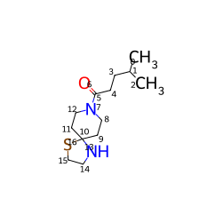 CC(C)CCC(=O)N1CCC2(CC1)NCCS2